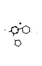 COc1ccc([C@]2(C#N)CC[C@H](O)CC2)cc1OC1CCCC1